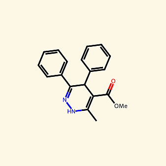 COC(=O)C1=C(C)NN=C(c2ccccc2)C1c1ccccc1